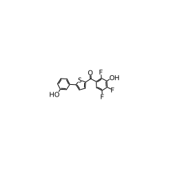 O=C(c1ccc(-c2cccc(O)c2)s1)c1cc(F)c(F)c(O)c1F